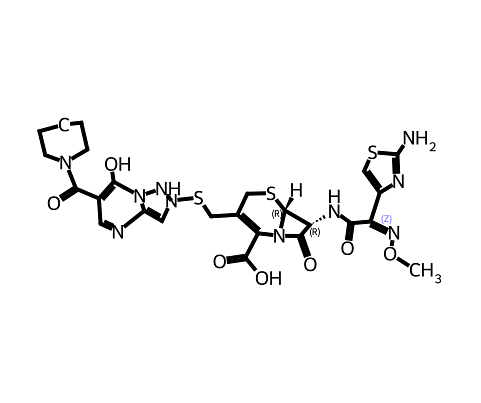 CO/N=C(\C(=O)N[C@@H]1C(=O)N2C(C(=O)O)=C(CSN3C=C4N=CC(C(=O)N5CCCCC5)=C(O)N4N3)CS[C@H]12)c1csc(N)n1